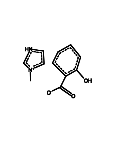 C[n+]1cc[nH]c1.O=C([O-])c1ccccc1O